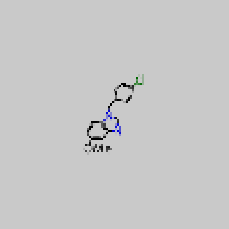 COc1ccc2c(c1)ncn2Cc1ccc(Cl)cc1